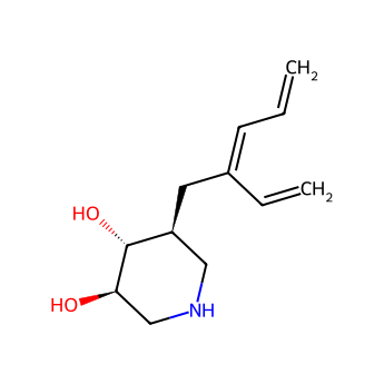 C=C/C=C(\C=C)C[C@H]1CNC[C@@H](O)[C@@H]1O